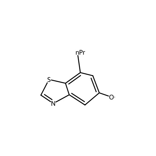 CCCc1cc([O])cc2ncsc12